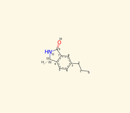 CCCc1ccc2c(c1)C(=O)N[C@H]2C